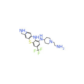 NCCN1CCC(Nc2cc(C(F)(F)F)cc3c2Nc2ccc(CN)cc2S3)CC1